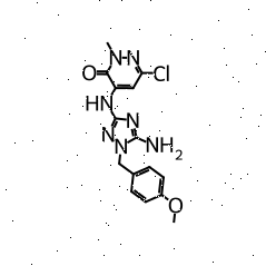 COc1ccc(Cn2nc(Nc3cc(Cl)nn(C)c3=O)nc2N)cc1